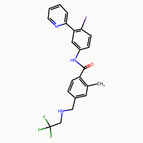 Cc1cc(CNCC(F)(F)F)ccc1C(=O)Nc1ccc(I)c(-c2ccccn2)c1